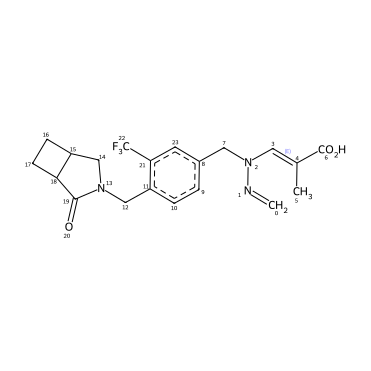 C=NN(/C=C(\C)C(=O)O)Cc1ccc(CN2CC3CCC3C2=O)c(C(F)(F)F)c1